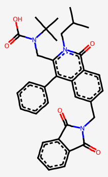 CC(C)Cn1c(CN(C(=O)O)C(C)(C)C)c(-c2ccccc2)c2cc(CN3C(=O)c4ccccc4C3=O)ccc2c1=O